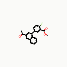 COC(=O)c1cc(-c2cc(C(C)=O)cc3ccccc23)ccc1F